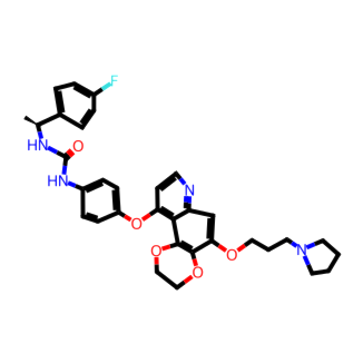 C[C@H](NC(=O)Nc1ccc(Oc2ccnc3cc(OCCCN4CCCC4)c4c(c23)OCCO4)cc1)c1ccc(F)cc1